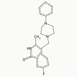 Cc1[nH]c(=O)c2cc(F)ccc2c1CN1CCN(c2ccccc2)CC1